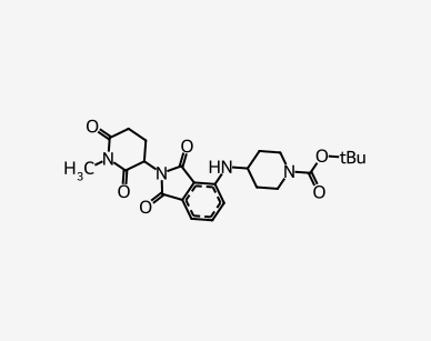 CN1C(=O)CCC(N2C(=O)c3cccc(NC4CCN(C(=O)OC(C)(C)C)CC4)c3C2=O)C1=O